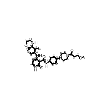 COCCC(=O)N1CCN(c2ccc(NC(=O)c3c(Nc4cnc5c(c4C)NCCO5)cc[nH]c3=O)cc2)CC1